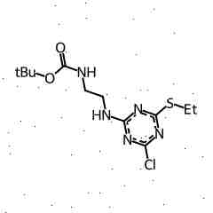 CCSc1nc(Cl)nc(NCCNC(=O)OC(C)(C)C)n1